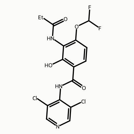 CCC(=O)Nc1c(OC(F)F)ccc(C(=O)Nc2c(Cl)cncc2Cl)c1O